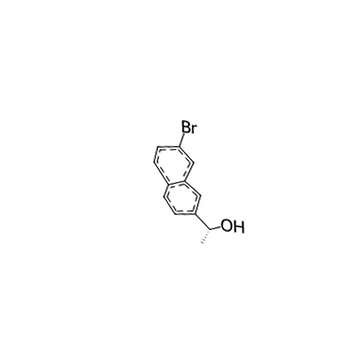 C[C@@H](O)c1ccc2ccc(Br)cc2c1